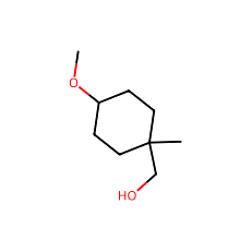 COC1CCC(C)(CO)CC1